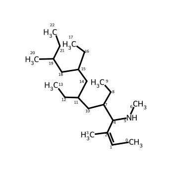 CC=C(C)C(NC)C(CC)CC(CC)CC(CC)CC(C)CC